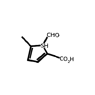 CC1=CC=C(C(=O)O)[SH]1C=O